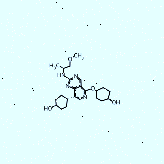 COC[C@H](C)Nc1ncc2c(O[C@H]3CC[C@H](O)CC3)ncc([C@H]3CC[C@H](O)CC3)c2n1